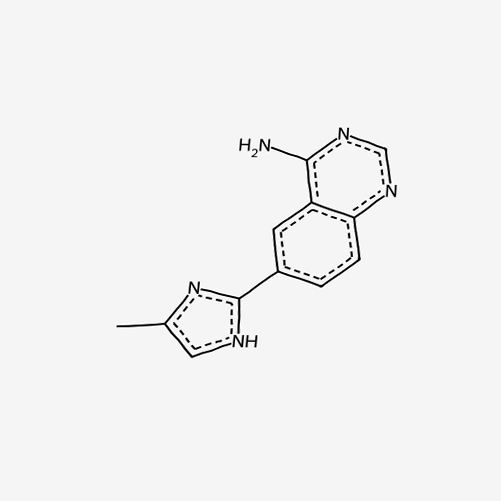 Cc1c[nH]c(-c2ccc3ncnc(N)c3c2)n1